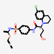 C=C=CSC(=C)NS(=O)(=O)c1ccc(NC(=O)[C@H](CCO)N2CCCc3cc(Cl)ccc32)cc1